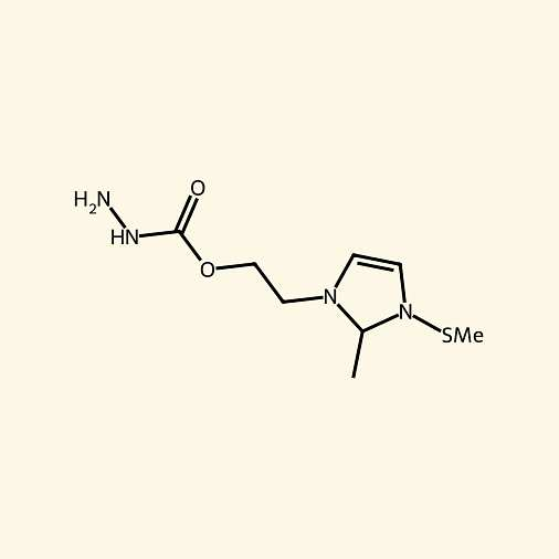 CSN1C=CN(CCOC(=O)NN)C1C